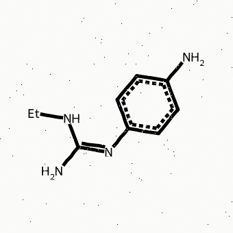 CCNC(N)=Nc1ccc(N)cc1